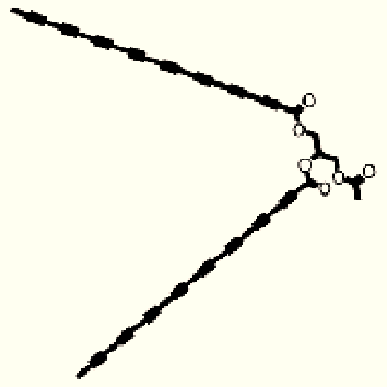 CC#CC#CC#CC#CC#CC#CC#CC#CC(=O)OCC(COC(C)=O)OC(=O)C#CC#CC#CC#CC#CC#CC#CC#CC